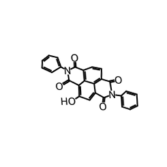 O=C1c2ccc3c4c(c(O)cc(c24)C(=O)N1c1ccccc1)C(=O)N(c1ccccc1)C3=O